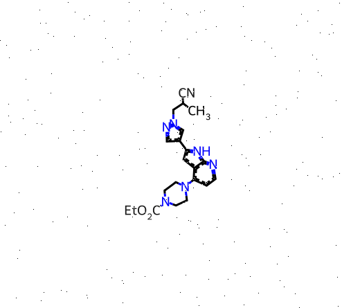 CCOC(=O)N1CCN(c2ccnc3[nH]c(-c4cnn(CC(C)C#N)c4)cc23)CC1